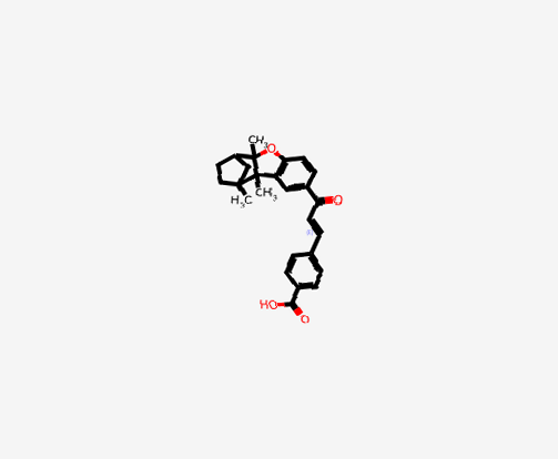 CC12CCC(C1)C1(C)Oc3ccc(C(=O)/C=C/c4ccc(C(=O)O)cc4)cc3C21C